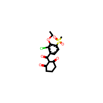 CCOc1c(S(C)(=O)=O)ccc(C(=O)C2C(=O)CCCC2=O)c1Cl